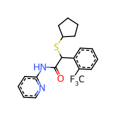 O=C(Nc1ccccn1)C(SC1CCCC1)c1ccccc1C(F)(F)F